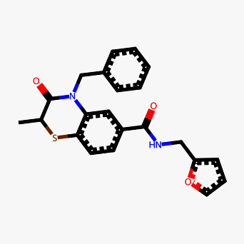 CC1Sc2ccc(C(=O)NCc3ccco3)cc2N(Cc2ccccc2)C1=O